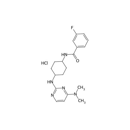 CN(C)c1ccnc(NC2CCC(NC(=O)c3cccc(F)c3)CC2)n1.Cl